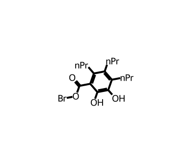 CCCc1c(O)c(O)c(C(=O)OBr)c(CCC)c1CCC